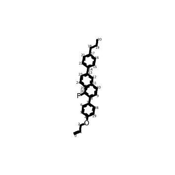 C=CCOc1ccc(-c2ccc3cc(-c4ccc(CCC)cc4)ccc3c2F)cc1